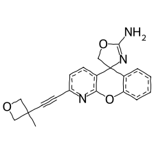 CC1(C#Cc2ccc3c(n2)Oc2ccccc2C32COC(N)=N2)COC1